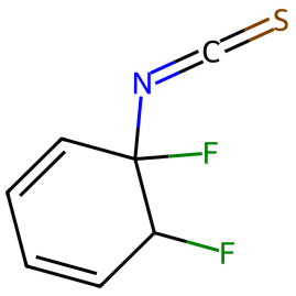 FC1C=CC=CC1(F)N=C=S